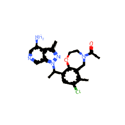 CC(=O)N1CCOc2c(C(C)n3nc(C)c4c(N)cncc43)cc(Cl)c(C)c2C1